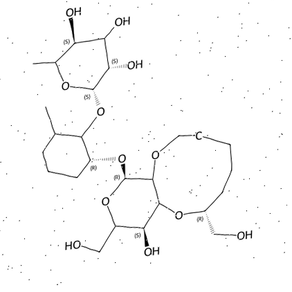 CC1CCC[C@@H](O[C@@H]2OC(CO)[C@H](O)C3O[C@@H](CO)CCCCCOC32)C1O[C@@H]1OC(C)[C@@H](O)C(O)[C@@H]1O